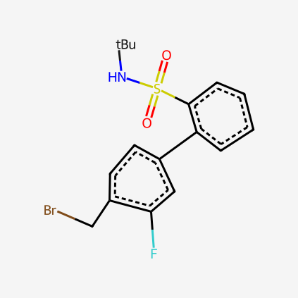 CC(C)(C)NS(=O)(=O)c1ccccc1-c1ccc(CBr)c(F)c1